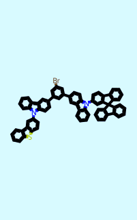 Brc1cc(-c2ccc3c(c2)c2ccccc2n3-c2ccc3c(c2)C2(c4ccccc4-c4ccccc42)c2ccccc2-3)cc(-c2ccc3c(c2)c2ccccc2n3-c2ccc3sc4ccccc4c3c2)c1